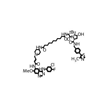 COc1cc2ncnc(Nc3ccc(F)c(Cl)c3)c2cc1NC(=O)/C=C/CN1CCC(NC(=O)CCCCCCCCCC(=O)N[C@H](C(=O)N2C[C@H](O)C[C@H]2C(=O)NCc2ccc(-c3scnc3C)cc2)C(C)(C)C)CC1